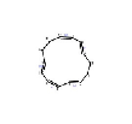 [C]1=C/CC/C=C/C=C\C=C\CC\C=C/1